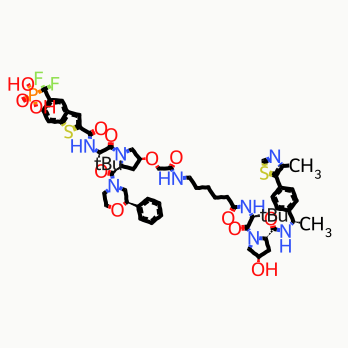 Cc1ncsc1-c1ccc([C@H](C)NC(=O)[C@@H]2C[C@@H](O)CN2C(=O)[C@@H](NC(=O)CCCCCNC(=O)CO[C@H]2C[C@@H](C(=O)N3CCO[C@H](c4ccccc4)C3)N(C(=O)[C@@H](NC(=O)c3cc4cc(C(F)(F)P(=O)(O)O)ccc4s3)C(C)(C)C)C2)C(C)(C)C)cc1